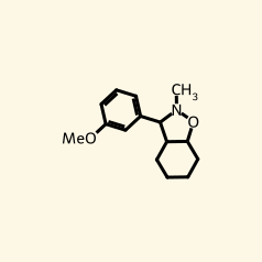 COc1cccc(C2C3CCCCC3ON2C)c1